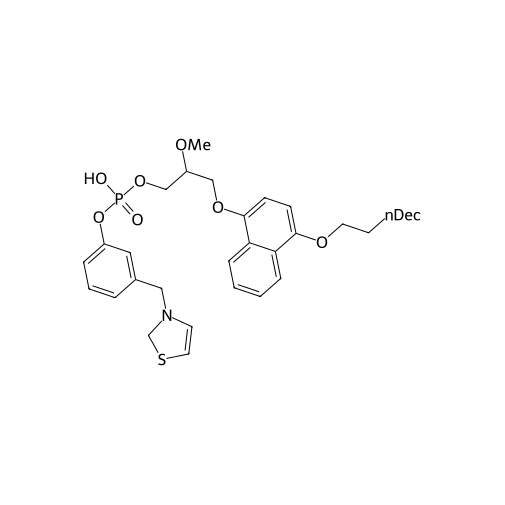 CCCCCCCCCCCCOc1ccc(OCC(COP(=O)(O)Oc2cccc(CN3C=CSC3)c2)OC)c2ccccc12